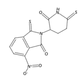 O=C1NC(=S)CCC1N1C(=O)c2c(cccc2[N+](=O)[O-])C1=S